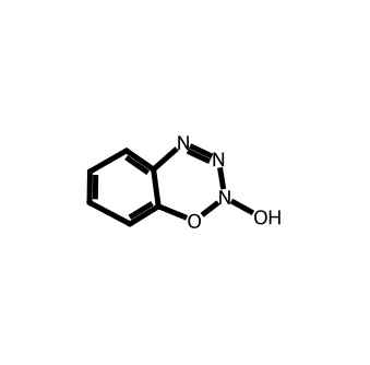 ON1N=Nc2ccccc2O1